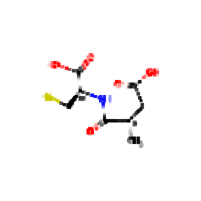 C[C@@H](CC(=O)O)C(=O)N[C@@H](CS)C(=O)O